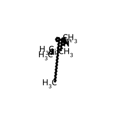 CCCCCCCCCCCCCCCCCCCCCC=CCCCc1ccccc1C(=CC(C)=C=[N+]=[N-])c1cccc(CCCC)c1.C[CH2][Ni][CH2]C